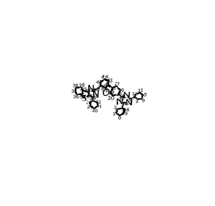 c1ccc(-c2nc(-c3ccccc3)nc(-c3ccc4c(c3)oc3c(-c5nc(-c6ccccc6)c6sc7ccccc7c6n5)cccc34)n2)cc1